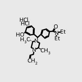 C=CCN1C[C@H](C)N([C@H](c2ccc(C(=O)N(CC)CC)cc2)c2cccc(O)c2)C[C@H]1C.Cl.Cl